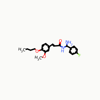 CCCCOc1ccc(C=CC(=O)NC(N)c2ccc(F)cc2)cc1OC